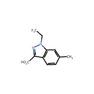 Cc1ccc2c(C(=O)O)nn(CC(F)(F)F)c2c1